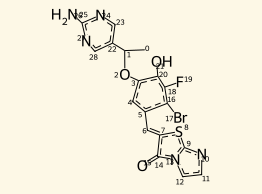 CC(Oc1cc(/C=c2\sc3nccn3c2=O)c(Br)c(F)c1O)c1cnc(N)nc1